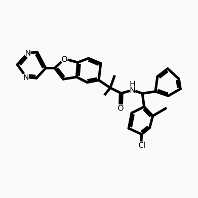 Cc1cc(Cl)ccc1C(NC(=O)C(C)(C)c1ccc2oc(-c3cncnc3)cc2c1)c1ccccc1